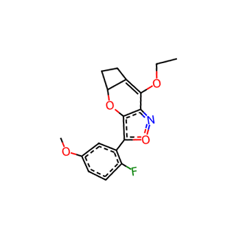 CCOC1=C2CCC2Oc2c1noc2-c1cc(OC)ccc1F